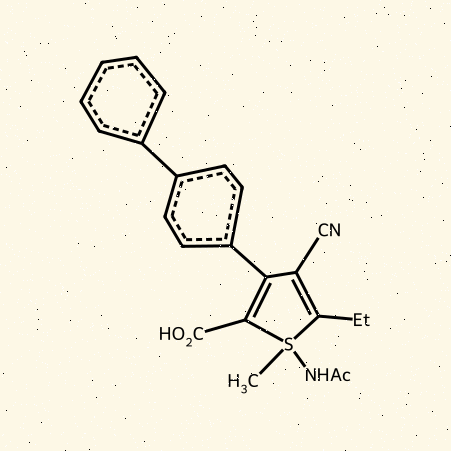 CCC1=C(C#N)C(c2ccc(-c3ccccc3)cc2)=C(C(=O)O)S1(C)NC(C)=O